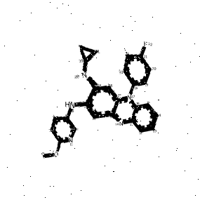 COc1ccc(Nc2cc3nc4ccccc4n(-c4ccc(F)cc4)c-3c/c2=N\C2CC2)cn1